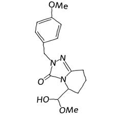 COc1ccc(Cn2nc3n(c2=O)C(C(O)OC)CCC3)cc1